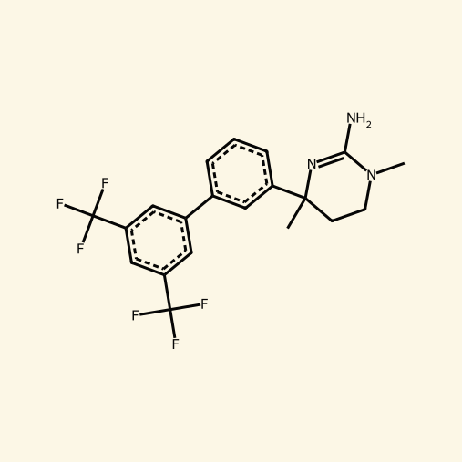 CN1CCC(C)(c2cccc(-c3cc(C(F)(F)F)cc(C(F)(F)F)c3)c2)N=C1N